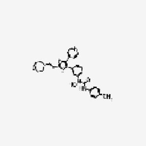 Cc1ccc(NC(=O)N(O)c2cccc(-c3sc(CCN4CCOCC4)nc3-c3ccncc3)c2)cc1